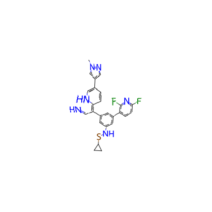 Cn1cc(C2=CN/C(=C(\C=N)c3cc(NSC4CC4)cc(-c4ccc(F)nc4F)c3)C=C2)cn1